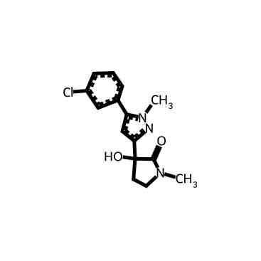 CN1CCC(O)(c2cc(-c3cccc(Cl)c3)n(C)n2)C1=O